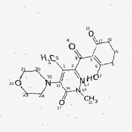 Cc1c(C(=O)C2=C(O)CCCC2=O)nn(C)c(=O)c1N1CCOCC1